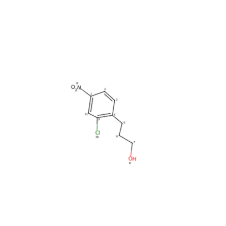 O=[N+]([O-])c1ccc(CCCO)c(Cl)c1